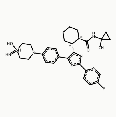 N#CC1(NC(=O)[C@@H]2CCCC[C@H]2c2nc(-c3ccc(F)cn3)sc2-c2ccc(N3CC[SH](=N)(O)CC3)cc2)CC1